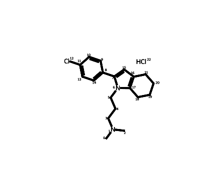 CN(C)CCCn1c(-c2ccc(Cl)cc2)cc2c1CCCC2.Cl